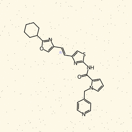 O=C(Nc1nc(/C=C/c2coc(C3CCCCC3)n2)cs1)c1cccn1Cc1ccncc1